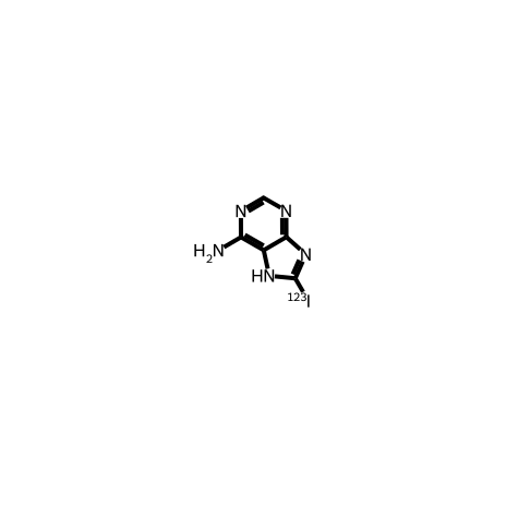 Nc1ncnc2nc([123I])[nH]c12